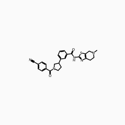 CN1CCc2nc(NC(=O)c3cccc(C4CCN(C(=O)c5ccc(C#N)cc5)C4)c3)sc2C1